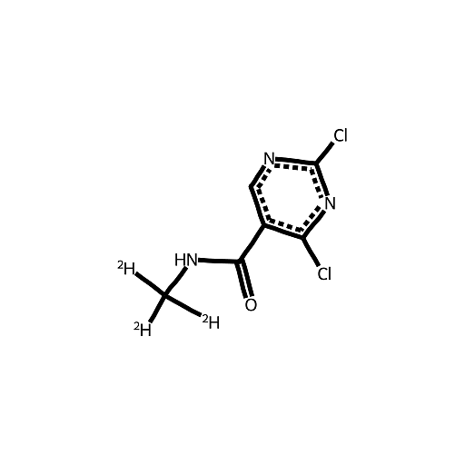 [2H]C([2H])([2H])NC(=O)c1cnc(Cl)nc1Cl